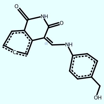 O=C1NC(=O)c2ccccc2/C1=C/Nc1ccc(CO)cc1